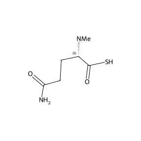 CN[C@@H](CCC(N)=O)C(=O)S